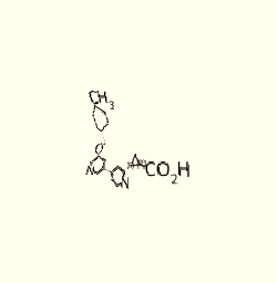 C[C@H]1CC[C@H](COc2cncc(-c3ccnc([C@@H]4C[C@H]4C(=O)O)c3)c2)CC1